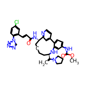 C=C([C@H]1CCCC[C@H](NC(=O)/C=C/c2cc(Cl)ccc2-n2cnnn2)c2cc(ccn2)-c2ccc(NC(=O)OC)cc2N1)N1CCCC1